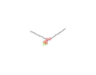 CCCCCCCCCCCCCCCCOC[C@@H](COS(=O)(=O)C(F)(F)F)OCCCCCCCCCCCCCCCC